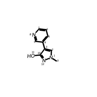 Cn1cc(-c2cccnc2)c(O)n1